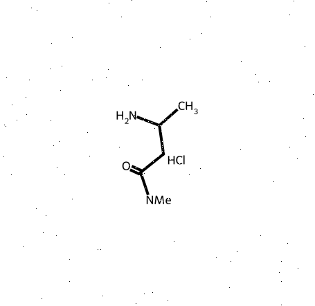 CNC(=O)CC(C)N.Cl